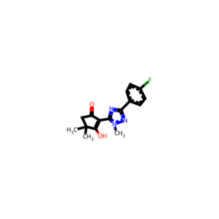 Cn1nc(-c2ccc(F)cc2)nc1C1=C(O)C(C)(C)CC1=O